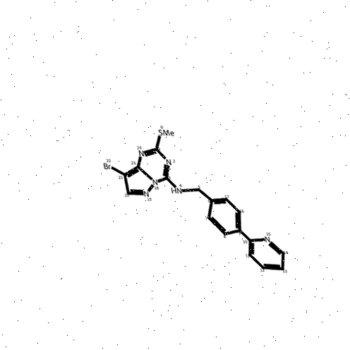 CSc1nc(NCc2ccc(-c3ccccn3)cc2)n2ncc(Br)c2n1